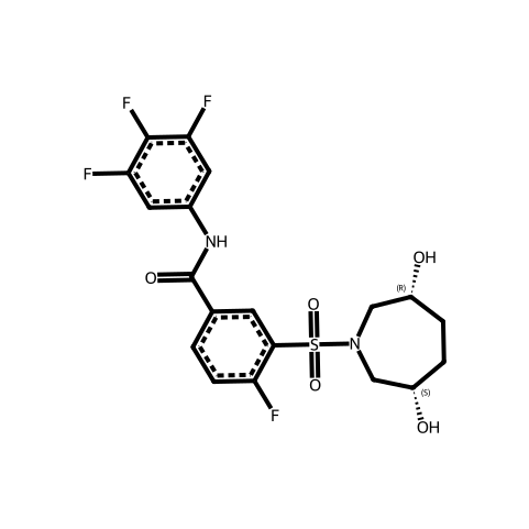 O=C(Nc1cc(F)c(F)c(F)c1)c1ccc(F)c(S(=O)(=O)N2C[C@H](O)CC[C@H](O)C2)c1